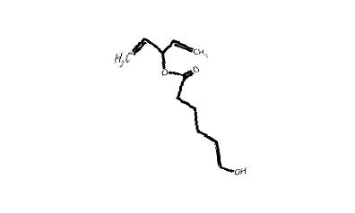 C=CC(C=C)OC(=O)CCCCCO